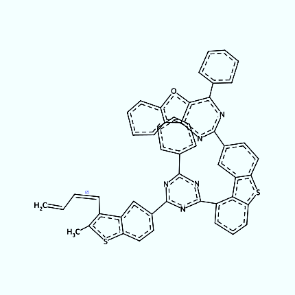 C=C/C=C\c1c(C)sc2ccc(-c3nc(-c4ccccc4)nc(-c4cccc5sc6ccc(-c7nc(-c8ccccc8)c8oc9ccccc9c8n7)cc6c45)n3)cc12